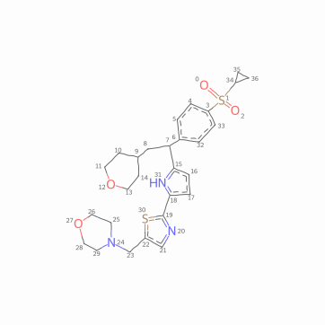 O=S(=O)(c1ccc(C(CC2CCOCC2)c2ccc(-c3ncc(CN4CCOCC4)s3)[nH]2)cc1)C1CC1